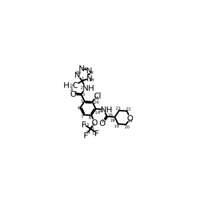 CC1(NC(=O)c2ccc(OC(F)(F)F)c(NC(=O)C3CCOCC3)c2Cl)N=NN=N1